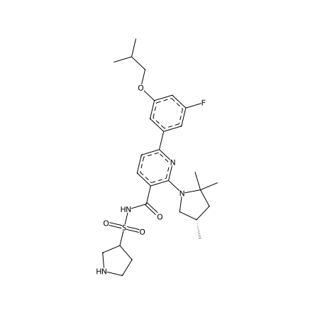 CC(C)COc1cc(F)cc(-c2ccc(C(=O)NS(=O)(=O)C3CCNC3)c(N3C[C@@H](C)CC3(C)C)n2)c1